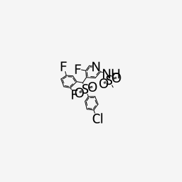 CS(=O)(=O)Nc1cc(C(c2cc(F)ccc2F)S(=O)(=O)c2ccc(Cl)cc2)c(F)cn1